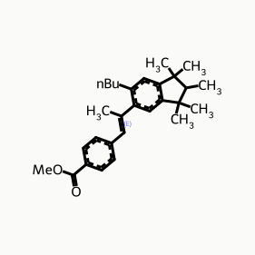 CCCCc1cc2c(cc1/C(C)=C/c1ccc(C(=O)OC)cc1)C(C)(C)C(C)C2(C)C